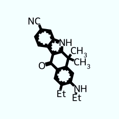 CCNc1cc2c(cc1CC)C(=O)c1c([nH]c3cc(C#N)ccc13)C2(C)C